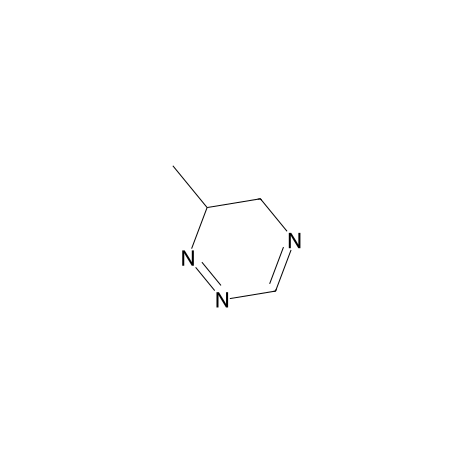 CC1CN=CN=N1